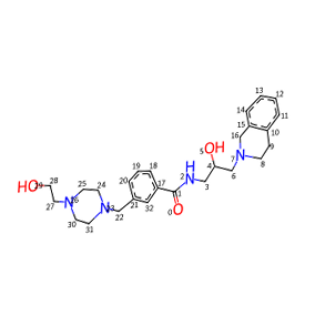 O=C(NCC(O)CN1CCc2ccccc2C1)c1cccc(CN2CCN(CCO)CC2)c1